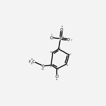 O=S(=O)(Cl)c1ccc(Cl)c(OC(F)(F)F)c1